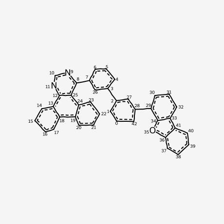 c1cc(-c2cccc(-c3ncnc4c5ccccc5c5ccccc5c34)c2)cc(-c2cccc3c2oc2ccccc23)c1